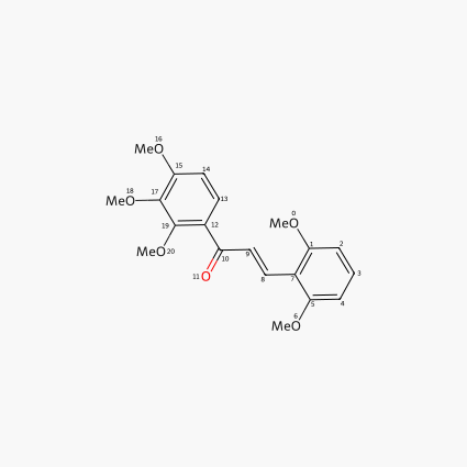 COc1cccc(OC)c1C=CC(=O)c1ccc(OC)c(OC)c1OC